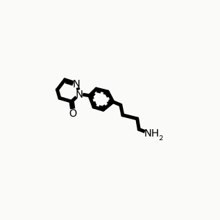 NCCCCc1ccc(N2N=CCCC2=O)cc1